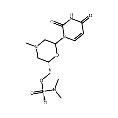 CN1CC(n2ccc(=O)[nH]c2=O)O[C@H](CO[P@](=O)(Cl)N(C)C)C1